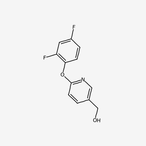 OCc1ccc(Oc2ccc(F)cc2F)nc1